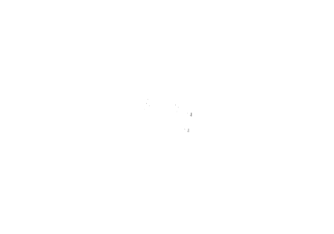 NC1=CNNN1